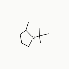 CC1CCCN1C(C)(C)C